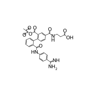 CS(=O)(=O)OC(=O)c1cc(C(=O)NCCC(=O)O)ccc1-c1ccccc1C(=O)Nc1ccc(C(=N)N)cc1